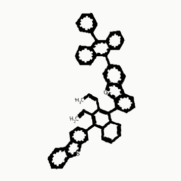 C=CC1=C(c2ccc3c(c2)sc2ccccc23)C2C=CC=CC2C(c2cccc3c2oc2cc(-c4c5ccccc5c(-c5ccccc5)c5ccccc45)ccc23)=C1/C=C\C